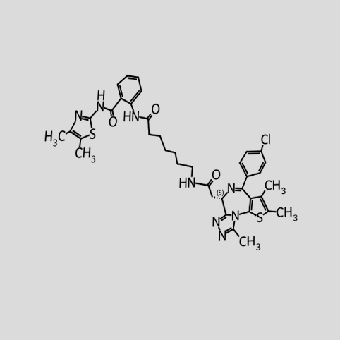 Cc1nc(NC(=O)c2ccccc2NC(=O)CCCCCCNC(=O)C[C@@H]2N=C(c3ccc(Cl)cc3)c3c(sc(C)c3C)-n3c(C)nnc32)sc1C